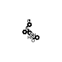 COc1cccc(CN2CC3(CCN(c4nc5c(c(=O)[nH]4)CCCC5)CC3)c3ccccc32)c1